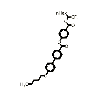 C=CCCCOc1ccc(-c2ccc(C(=O)Oc3ccc(C(=O)OC(CCCCCC)C(F)(F)F)cc3)cc2)cc1